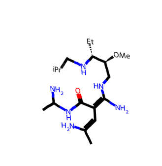 CC[C@@H](NCC(C)C)[C@H](CN/C(N)=C(/C=C(/C)N)C(=O)NC(C)N)OC